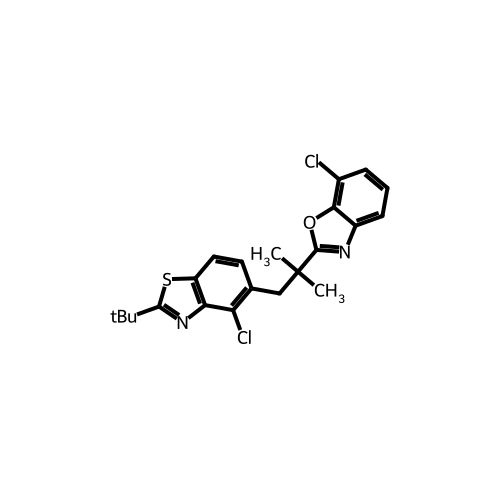 CC(C)(C)c1nc2c(Cl)c(CC(C)(C)c3nc4cccc(Cl)c4o3)ccc2s1